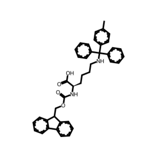 Cc1ccc(C(NCCCC[C@@H](NC(=O)OCC2c3ccccc3-c3ccccc32)C(=O)O)(c2ccccc2)c2ccccc2)cc1